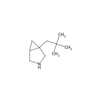 CC(C)(C)CC12CNCC1C2